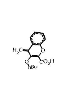 C=C1C(OCCCC)=C(C(=O)O)Oc2ccccc21